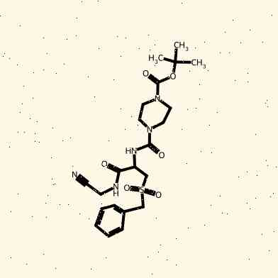 CC(C)(C)OC(=O)N1CCN(C(=O)NC(CS(=O)(=O)Cc2ccccc2)C(=O)NCC#N)CC1